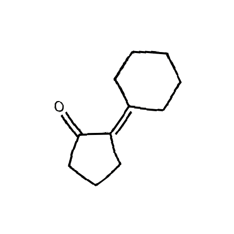 O=C1CCCC1=C1CCCCC1